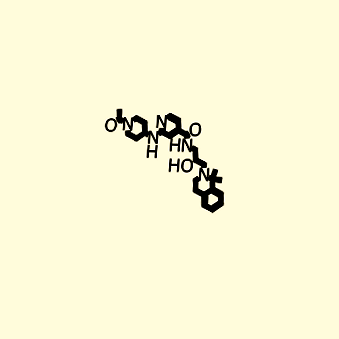 CC(=O)N1CCC(Nc2cc(C(=O)NC[C@@H](O)CN3CCc4ccccc4C3(C)C)ccn2)CC1